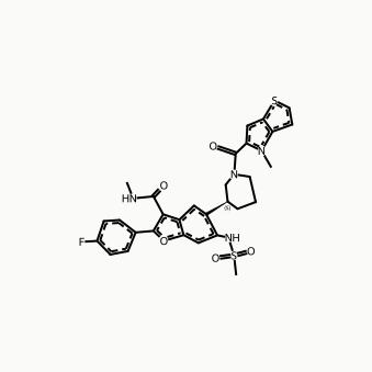 CNC(=O)c1c(-c2ccc(F)cc2)oc2cc(NS(C)(=O)=O)c([C@@H]3CCCN(C(=O)c4cc5sccc5n4C)C3)cc12